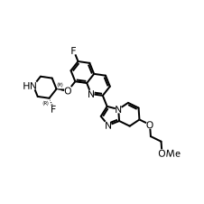 COCCOC1C=Cn2c(-c3ccc4cc(F)cc(O[C@@H]5CCNC[C@H]5F)c4n3)cnc2C1